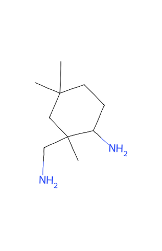 CC1(C)CCC(N)C(C)(CN)C1